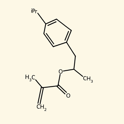 C=C(C)C(=O)OC(C)Cc1ccc(C(C)C)cc1